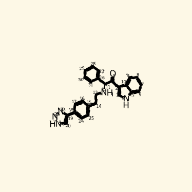 O=C(c1c[nH]c2ccccc12)[C@@H](NCCc1ccc(-c2c[nH]nn2)cc1)c1ccccc1